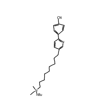 CCCC[Si](C)(C)CCCCCCCCCc1ccc(-c2ccc(C#N)cc2)nc1